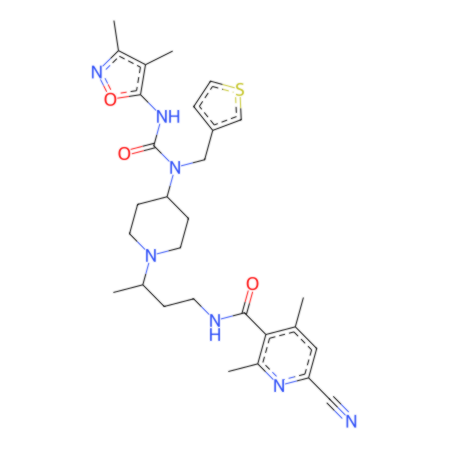 Cc1cc(C#N)nc(C)c1C(=O)NCCC(C)N1CCC(N(Cc2ccsc2)C(=O)Nc2onc(C)c2C)CC1